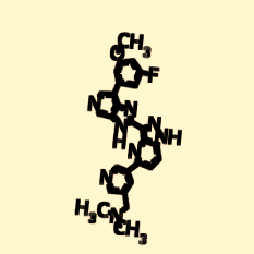 COc1cc(F)cc(-c2cncc3[nH]c(-c4n[nH]c5ccc(-c6cncc(CN(C)C)c6)nc45)nc23)c1